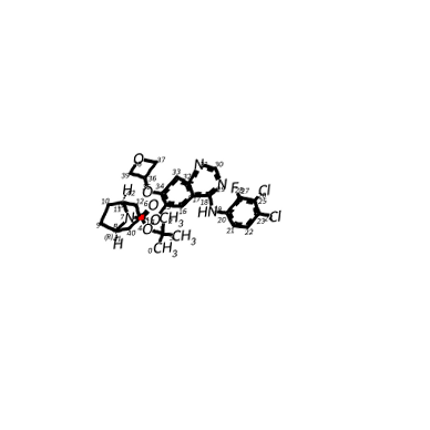 CC(C)(C)OC(=O)N1[C@@H]2CC[C@H]1C[C@H](Oc1cc3c(Nc4ccc(Cl)c(Cl)c4F)ncnc3cc1OC1COC1)C2